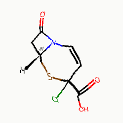 O=C1C[C@H]2SC(Cl)(C(=O)O)C=CN12